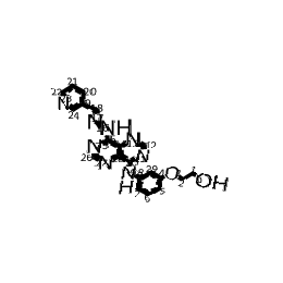 OCCOc1cccc(Nc2ncnc3c(NN=Cc4cccnc4)ncnc23)c1